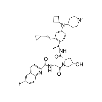 C[C@H](NC(=O)[C@@H]1C[C@@H](O)CN1C(=O)CNC(=O)c1ccc2cc(F)ccc2n1)c1ccc(N(C2CCC2)C2CCN(C)CC2)cc1/C=C/C1CC1